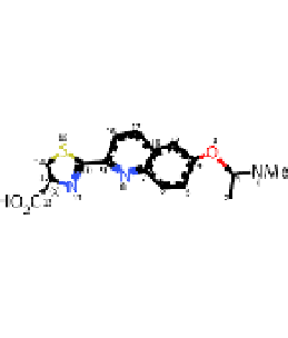 CNC(C)Oc1ccc2nc(C3=N[C@@H](C(=O)O)CS3)ccc2c1